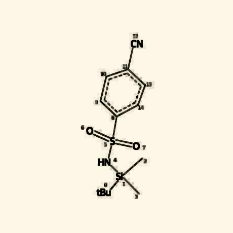 CC(C)(C)[Si](C)(C)NS(=O)(=O)c1ccc(C#N)cc1